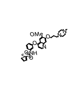 COc1cc2c(Oc3cccc(NS(=O)(=O)c4cccs4)c3)ccnc2cc1OCCCN1CCN(C)CC1